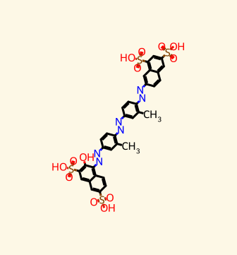 Cc1cc(/N=N/c2ccc(/N=N/c3c(O)c(S(=O)(=O)O)cc4cc(S(=O)(=O)O)ccc34)cc2C)ccc1/N=N/c1ccc2cc(S(=O)(=O)O)cc(S(=O)(=O)O)c2c1